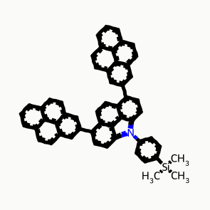 C[Si](C)(C)c1ccc(-n2c3ccc(-c4cc5ccc6cccc7ccc(c4)c5c67)c4ccc5c(-c6cc7ccc8cccc9ccc(c6)c7c89)ccc2c5c43)cc1